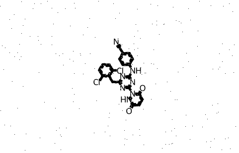 N#Cc1ccc(Nc2nc(Cc3c(Cl)cccc3Cl)nc(-n3[nH]c(=O)ccc3=O)n2)cc1